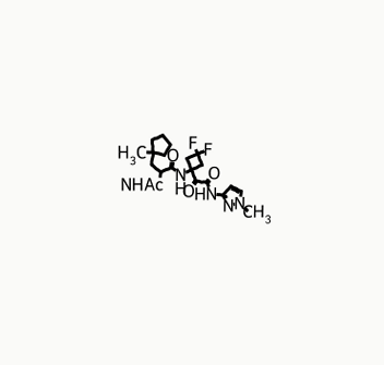 CC(=O)NC(CC1(C)CCCC1)C(=O)NC1(C(=O)C(=O)Nc2ccn(C)n2)CC(F)(F)C1